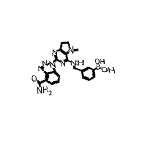 CN1CCc2nc(-n3nnc4c(C(N)=O)cccc43)nc(NCc3cccc(B(O)O)c3)c21